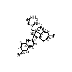 N/N=C\N(N)CC(O)(C1=CCC=C(F)C=C1F)C(F)(F)c1ccc2cc(Br)ccc2n1